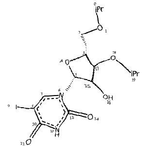 CC(C)OC[C@H]1O[C@@H](n2cc(I)c(=O)[nH]c2=O)C(O)C1OC(C)C